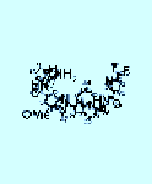 COc1cc(C(=O)N2C[C@H](N)[C@@H]3CC[C@H]2C3)cc2nc(-c3cc4ccc([C@@H](C)NC(=O)c5ccc(C(F)F)nc5)nc4n3CC3CC3)n(C)c12